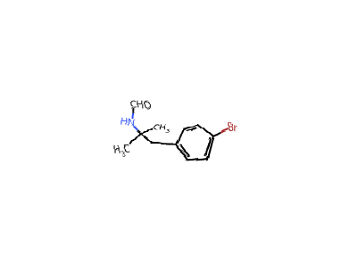 CC(C)(Cc1ccc(Br)cc1)NC=O